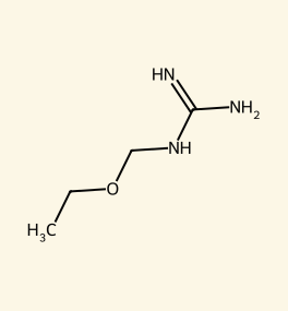 CCOCNC(=N)N